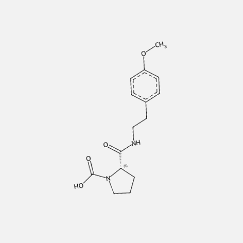 COc1ccc(CCNC(=O)[C@@H]2CCCN2C(=O)O)cc1